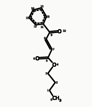 CCCCOC(=O)C=CC(=O)c1ccccc1